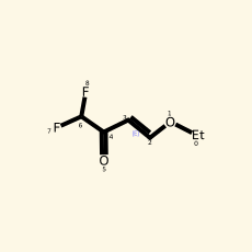 CCO/C=C/C(=O)C(F)F